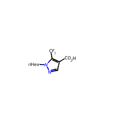 CCCCCCn1ncc(C(=O)O)c1C(F)(F)F